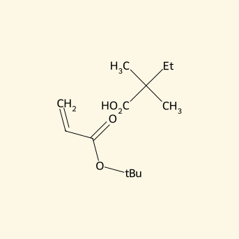 C=CC(=O)OC(C)(C)C.CCC(C)(C)C(=O)O